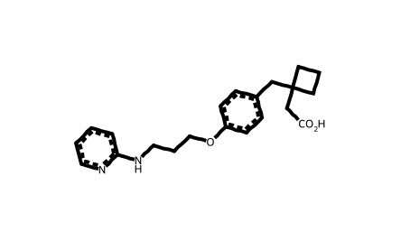 O=C(O)CC1(Cc2ccc(OCCCNc3ccccn3)cc2)CCC1